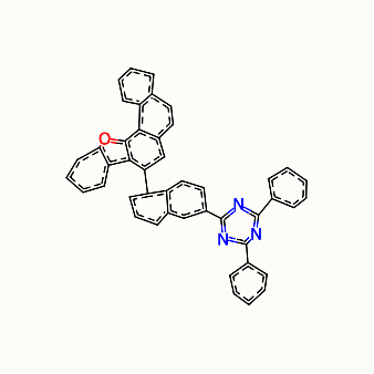 c1ccc(-c2nc(-c3ccccc3)nc(-c3ccc4c(-c5cc6ccc7ccccc7c6c6oc7ccccc7c56)cccc4c3)n2)cc1